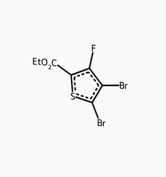 CCOC(=O)c1sc(Br)c(Br)c1F